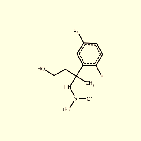 CC(CCO)(N[S+]([O-])C(C)(C)C)c1cc(Br)ccc1F